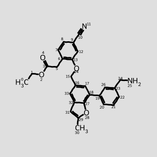 CCOC(=O)Cc1ccc(C#N)cc1OCc1cc(-c2cccc(CN)c2)c2oc(C)cc2c1